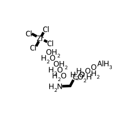 NCC(=O)O.O.O.O.O.O.O.O.O.[AlH3].[Cl][Zr]([Cl])([Cl])[Cl]